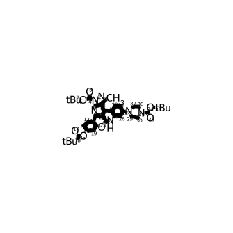 Cc1nn(C(=O)OC(C)(C)C)c2nc(-c3ccc(OC(=O)C(C)(C)C)cc3)c3c(=O)[nH]c4cc(N5CCN(C(=O)OC(C)(C)C)CC5)ccc4c3c12